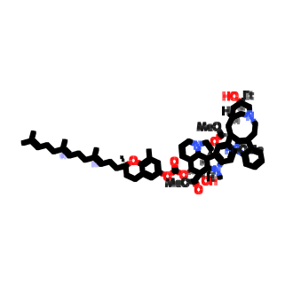 CC[C@]1(O)C[C@@H]2CN(CCc3c([nH]c4ccccc34)[C@@](C(=O)OC)(c3cc4c(cc3OC)N(C)[C@H]3[C@@](O)(C(=O)OC)[C@H](OC(=O)Oc5cc(C)c6c(c5)CC[C@@](C)(CC/C=C(\C)CC/C=C(\C)CCC=C(C)C)O6)C5C=CCN6CC[C@]43C56)C2)C1